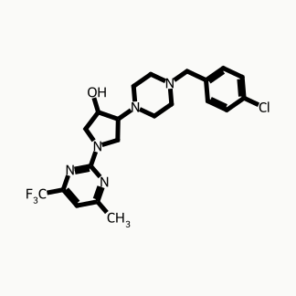 Cc1cc(C(F)(F)F)nc(N2CC(O)C(N3CCN(Cc4ccc(Cl)cc4)CC3)C2)n1